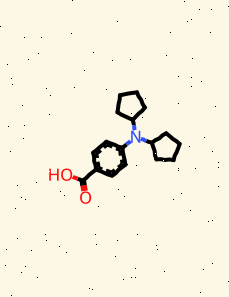 O=C(O)c1ccc(N(C2CCCC2)C2CCCC2)cc1